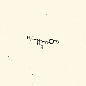 CCCNCC(O)COc1ccc(C=O)cc1